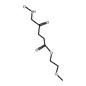 COCCOC(=O)CCC(=O)CNCl